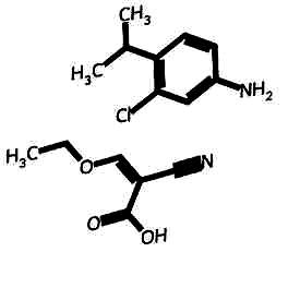 CC(C)c1ccc(N)cc1Cl.CCOC=C(C#N)C(=O)O